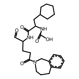 O=CC(CCC(=O)N1CCCc2ccccc2C1)NC(=O)C(CC1CCCCC1)NC(=O)O